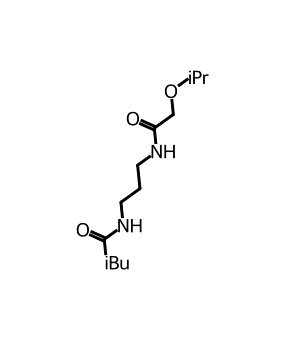 CCC(C)C(=O)NCCCNC(=O)COC(C)C